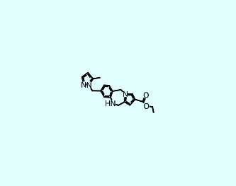 CCOC(=O)c1cc2n(c1)Cc1ccc(Cn3nccc3C)cc1NC2